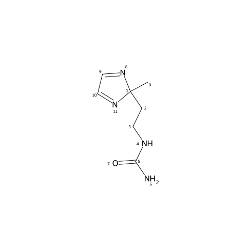 CC1(CCNC(N)=O)N=CC=N1